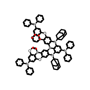 c1ccc(N(c2ccccc2)c2cc3c4c(c2)Oc2cc5c(cc2B4c2ccccc2O3)B2c3cc4c(cc3N(C36CC7CC(CC(C7)C3)C6)c3cc(N(c6ccccc6)c6ccccc6)cc(c32)N5C23CC5CC(CC(C5)C2)C3)Oc2cc(N(c3ccccc3)c3ccccc3)cc3c2B4c2ccccc2O3)cc1